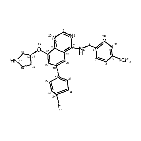 Cc1ccc(CNc2ncnc3c(O[C@H]4CCNC4)cc(-c4ccc(F)cc4)cc23)nn1